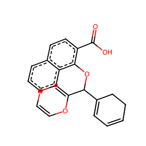 O=C(O)c1ccc2ccccc2c1OC(C1=CC=CCC1)C1=COC=CO1